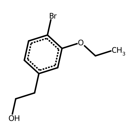 CCOc1cc(CCO)ccc1Br